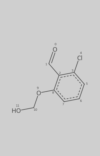 O=Cc1c(Cl)cccc1OCO